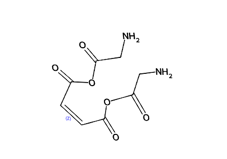 NCC(=O)OC(=O)/C=C\C(=O)OC(=O)CN